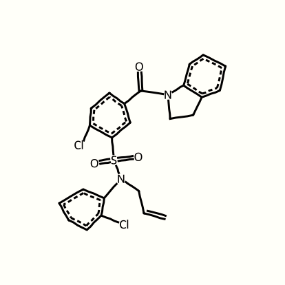 C=CCN(c1ccccc1Cl)S(=O)(=O)c1cc(C(=O)N2CCc3ccccc32)ccc1Cl